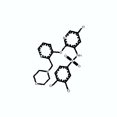 O=S(=O)(Nc1cc(Cl)cnc1Oc1cccnc1CN1CCOCC1)c1ccc(Cl)c(Cl)c1